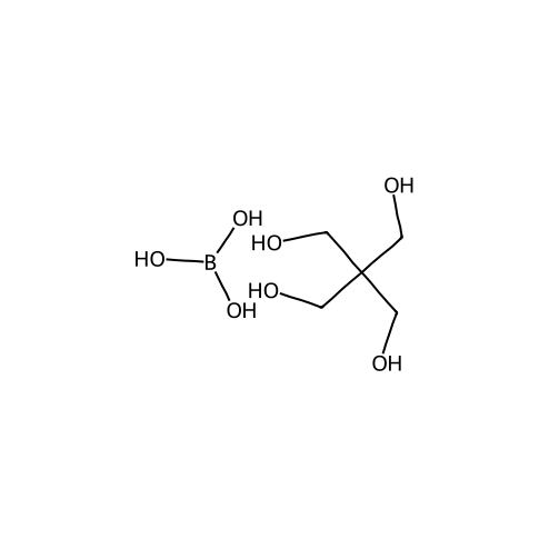 OB(O)O.OCC(CO)(CO)CO